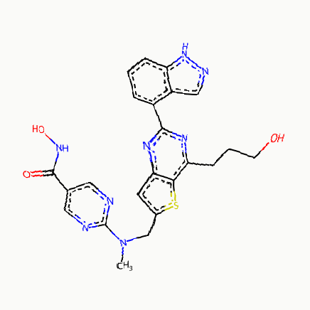 CN(Cc1cc2nc(-c3cccc4[nH]ncc34)nc(CCCO)c2s1)c1ncc(C(=O)NO)cn1